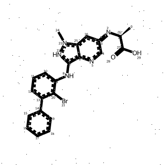 C[C@H](N=c1cnc2c(Nc3cccc(-c4ccccc4)c3Br)[nH]n(C)c-2c1)C(=O)O